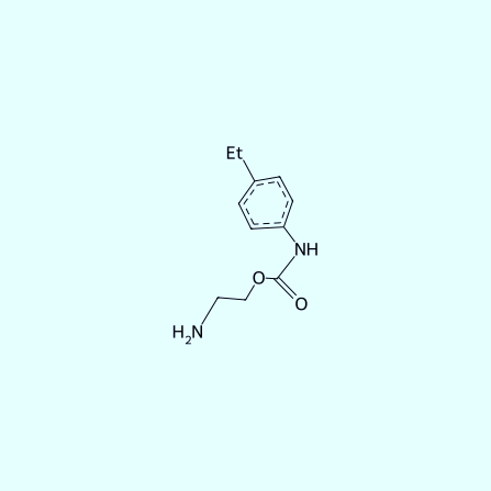 CCc1ccc(NC(=O)OCCN)cc1